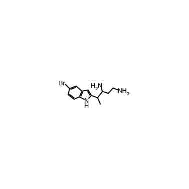 CC(c1cc2cc(Br)ccc2[nH]1)C(N)CCN